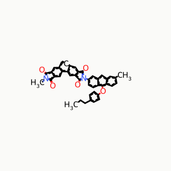 CCCc1ccc(Oc2c3ccc(C)cc3cc3cc(-n4c(=O)c5cc6ccc7cc8c(=O)n(C)c(=O)c8cc7c6cc5c4=O)ccc23)cc1